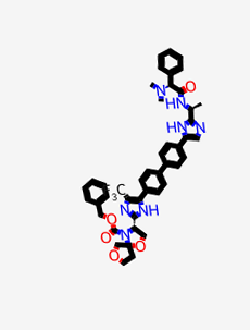 C[C@H](NC(=O)[C@@H](c1ccccc1)N(C)C)c1ncc(-c2ccc(-c3ccc(-c4[nH]c([C@@H]5COC6(CCOC6)N5C(=O)OCc5ccccc5)nc4C(F)(F)F)cc3)cc2)[nH]1